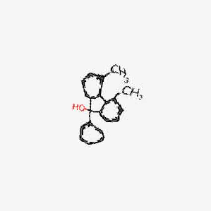 Cc1cccc2c1-c1c(C)cccc1C2(O)c1ccccc1